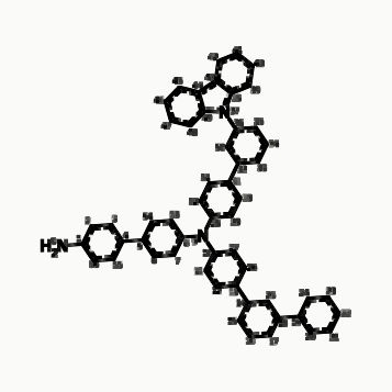 Nc1ccc(-c2ccc(N(c3ccc(-c4cccc(-c5ccccc5)c4)cc3)c3ccc(-c4cccc(-n5c6ccccc6c6ccccc65)c4)cc3)cc2)cc1